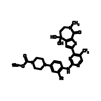 CCc1cc(N2CCN(C(=O)OC(C)(C)C)CC2)ccc1Nc1ncc(C(F)(F)F)c(-c2cc3c(s2)C(=O)N(C)CCS3(O)O)n1